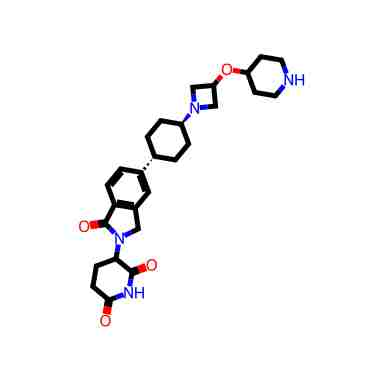 O=C1CCC(N2Cc3cc([C@H]4CC[C@H](N5CC(OC6CCNCC6)C5)CC4)ccc3C2=O)C(=O)N1